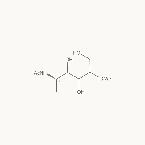 COC(CO)C(O)C(O)[C@@H](C)NC(C)=O